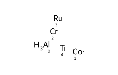 [AlH3].[Co].[Cr].[Ru].[Ti]